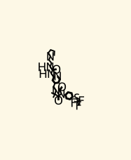 CC1(C)C(=O)N(c2ccc(SC(F)(F)F)cc2)C(=O)N1Cc1ccnc(NC(=O)NCCN2CCCC2)c1